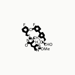 CN(C=O)Cc1ccc(-c2ccc(F)c(Cl)c2)cc1.COc1ncc(Cc2cn(C)c(SCc3ccc(F)cc3)nc2=O)cn1